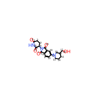 O=C1CCC(N2C(=O)c3ccc(N4CCCC(CO)C4)cc3C2=O)C(=O)N1